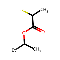 CCC(C)OC(=O)C(C)[S]